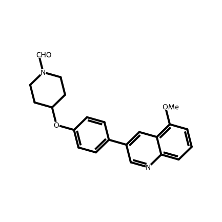 COc1cccc2ncc(-c3ccc(OC4CCN(C=O)CC4)cc3)cc12